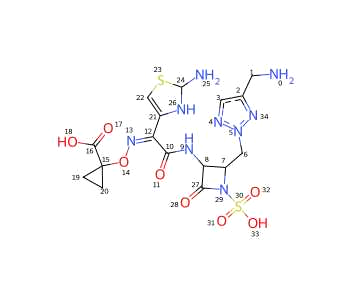 NCc1cnn(CC2C(NC(=O)/C(=N\OC3(C(=O)O)CC3)C3=CSC(N)N3)C(=O)N2S(=O)(=O)O)n1